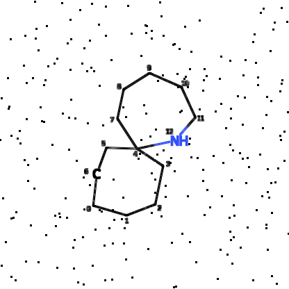 C1CCCC2(CC1)CCCCCN2